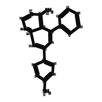 Nc1ccc(-c2cc(-c3ccccc3)c3c(N)ncnc3n2)cc1